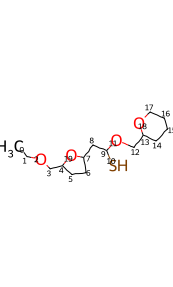 CCOCC1CCC(CC(S)OCC2CCCCO2)O1